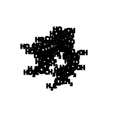 CC1(C)[C@@H](O[C@H]2O[C@H](C(=O)O)[C@@H](O)[C@H](O)[C@H]2O[C@@H]2O[C@H](C(=O)O)[C@@H](O)[C@H](O)[C@H]2O)CC[C@]2(C)[C@H]3C(=O)C=C4[C@@H]5C[C@@](C)(C(=O)O)CC[C@]5(C)CC[C@@]4(C)[C@]3(C)CC[C@@H]12.C[C@@H]1CC[C@@]2(OC1)O[C@H]1[C@@H](O)[C@H]3[C@@H]4CC[C@H]5C[C@@H](O[C@@H]6O[C@H](CO)[C@H](O[C@@H]7O[C@H](CO)C(O)[C@H](O[C@@H]8OC[C@@H](O)[C@H](O)[C@H]8O)[C@H]7O[C@@H]7O[C@H](CO)[C@H](O)[C@H](O[C@@H]8O[C@H](CO)[C@@H](O)[C@H](O)[C@H]8O)[C@H]7O)[C@H](O)[C@H]6O)[C@H](O)C[C@]5(C)[C@H]4CC[C@]3(C)[C@H]1[C@@H]2C